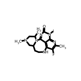 Cc1nc2c3c(nc(=O)n2I)N2C(C)CN(C)CC2CCNc3c1F